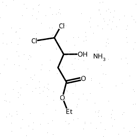 CCOC(=O)CC(O)C(Cl)Cl.N